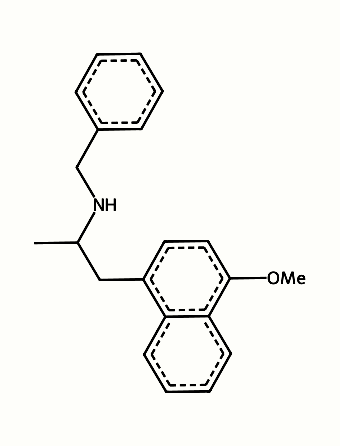 COc1ccc(CC(C)NCc2ccccc2)c2ccccc12